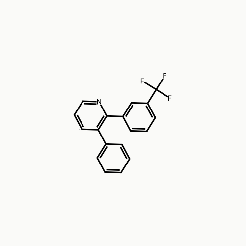 FC(F)(F)c1cccc(-c2ncc[c]c2-c2ccccc2)c1